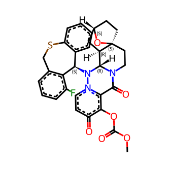 COC(=O)Oc1c2n(ccc1=O)N([C@@H]1c3ccccc3SCc3cccc(F)c31)[C@@H]1[C@H]3C[C@@H]4CC[C@@]3(CCN1C2=O)O4